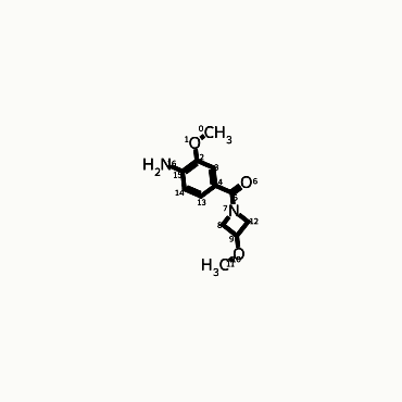 COc1cc(C(=O)N2CC(OC)C2)ccc1N